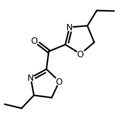 CCC1COC(C(=O)C2=NC(CC)CO2)=N1